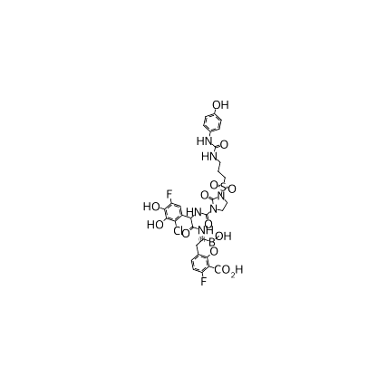 O=C(NCCCS(=O)(=O)N1CCN(C(=O)NC(C(=O)N[C@H]2Cc3ccc(F)c(C(=O)O)c3OB2O)c2cc(F)c(O)c(O)c2Cl)C1=O)Nc1ccc(O)cc1